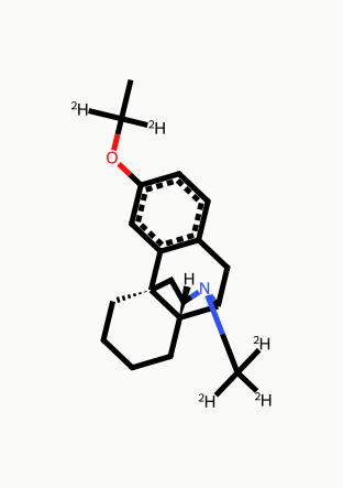 [2H]C([2H])(C)Oc1ccc2c(c1)[C@]13CCCC[C@H]1C(C2)N(C([2H])([2H])[2H])CC3